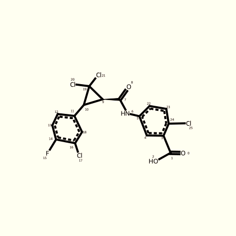 O=C(O)c1cc(NC(=O)[C@H]2C(c3ccc(F)c(Cl)c3)C2(Cl)Cl)ccc1Cl